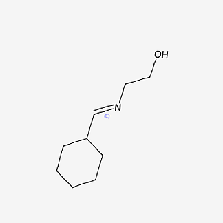 OCC/N=C/C1CCCCC1